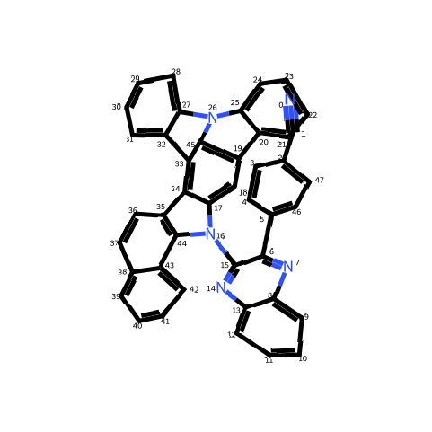 N#Cc1ccc(-c2nc3ccccc3nc2-n2c3cc4c5ccccc5n5c6ccccc6c(c3c3ccc6ccccc6c32)c45)cc1